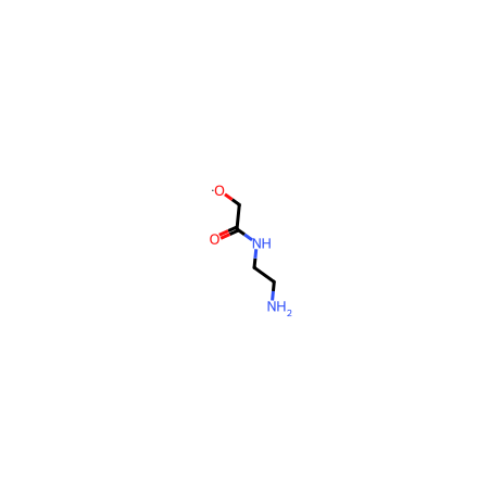 NCCNC(=O)C[O]